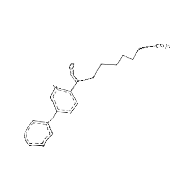 O=C(O)CCCCCCC(=O)c1ccc(-c2ccccc2)cn1